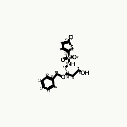 O=S(=O)(NC[C@H](CCO)OCc1ccccc1)c1ccc(Cl)s1